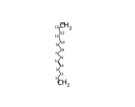 C=CCCC=CCCCCCCCC=C